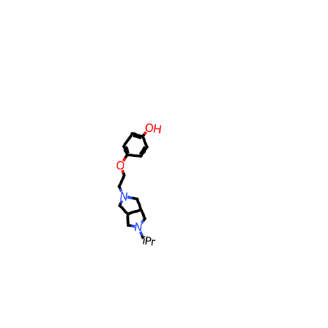 CC(C)N1CC2CN(CCOc3ccc(O)cc3)CC2C1